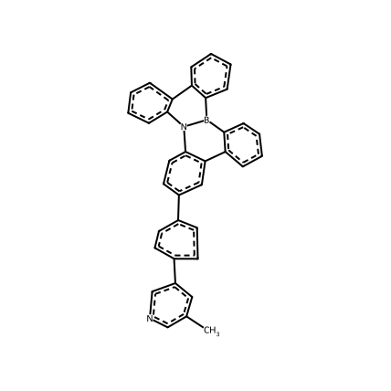 Cc1cncc(-c2ccc(-c3ccc4c(c3)-c3ccccc3B3c5ccccc5-c5ccccc5N34)cc2)c1